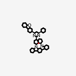 c1ccc(-c2cc(-c3ccc4c(c3)oc3ccccc34)nc(-c3ccc(-n4c5ccccc5c5ccc6c7ccccc7n(-c7ccccc7)c6c54)cc3)n2)cc1